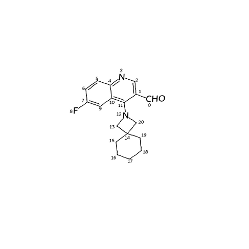 O=Cc1cnc2ccc(F)cc2c1N1CC2(CCCCC2)C1